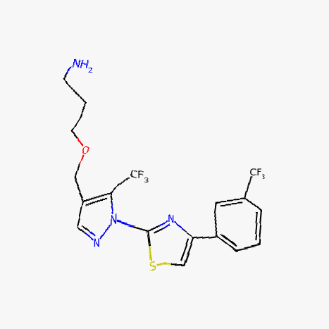 NCCCOCc1cnn(-c2nc(-c3cccc(C(F)(F)F)c3)cs2)c1C(F)(F)F